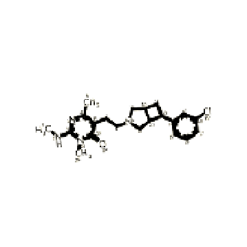 CNc1nc(C)c(CCN2CC3CC(c4cccc(Cl)c4)C3C2)c(=O)n1C